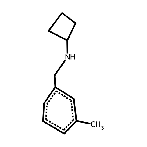 Cc1cccc(CNC2CCC2)c1